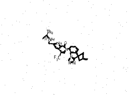 CC1CC(c2cccc(-n3cc(C(F)(F)F)c4cc(CN[C@@H](C)C(C)(C)C)[nH]c4c3=O)c2)(c2nncn2C)C1